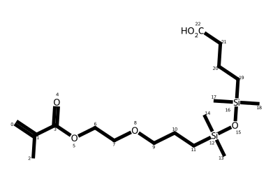 C=C(C)C(=O)OCCOCCC[Si](C)(C)O[Si](C)(C)CCCC(=O)O